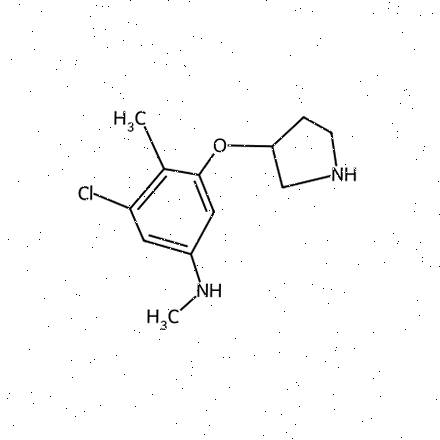 CNc1cc(Cl)c(C)c(OC2CCNC2)c1